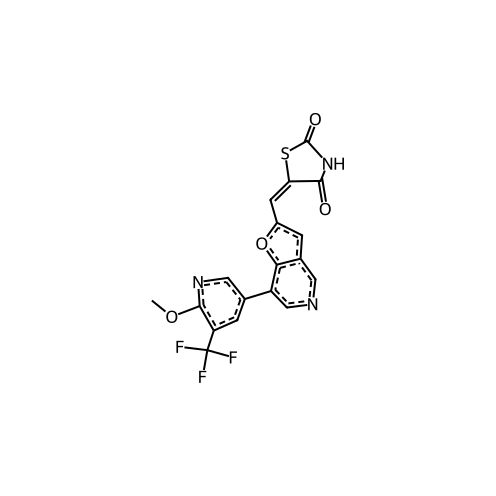 COc1ncc(-c2cncc3cc(C=C4SC(=O)NC4=O)oc23)cc1C(F)(F)F